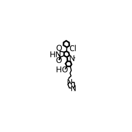 CN1CCN(CCCCc2cc3c(cc2O)c2c4c(c(-c5ccccc5Cl)cc2n3C)C(=O)NC4=O)CC1